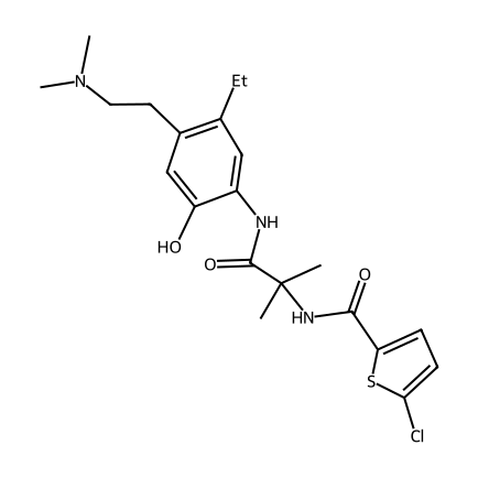 CCc1cc(NC(=O)C(C)(C)NC(=O)c2ccc(Cl)s2)c(O)cc1CCN(C)C